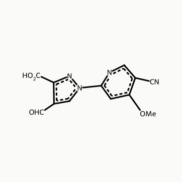 COc1cc(-n2cc(C=O)c(C(=O)O)n2)ncc1C#N